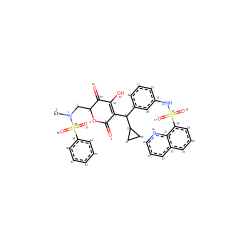 CCN(CC1OC(=O)C(C(c2cccc(NS(=O)(=O)c3cccc4cccnc34)c2)C2CC2)=C(O)C1=O)S(=O)(=O)c1ccccc1